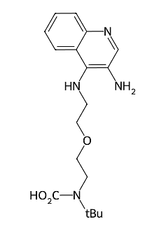 CC(C)(C)N(CCOCCNc1c(N)cnc2ccccc12)C(=O)O